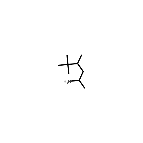 CC(N)CC(C)C(C)(C)C